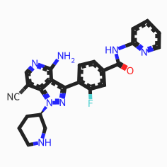 N#Cc1cnc(N)c2c(-c3ccc(C(=O)Nc4ccccn4)cc3F)nn([C@@H]3CCCNC3)c12